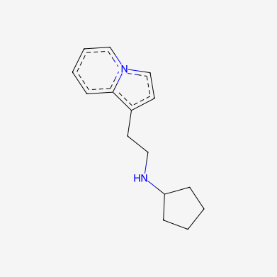 c1ccn2ccc(CCNC3CCCC3)c2c1